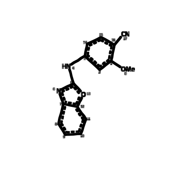 COc1cc(Nc2nc3ccccc3o2)ccc1C#N